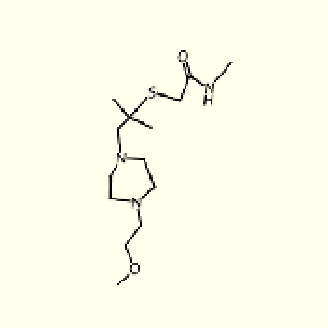 CNC(=O)CSC(C)(C)CN1CCN(CCOC)CC1